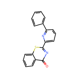 O=c1nc(-c2cccc(-c3ccccc3)n2)sc2ccccc12